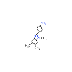 Cc1cc2nc(-c3ccc(N)cc3)n(C)c2cc1C